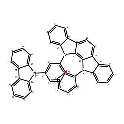 c1ccc(-n2c3ccccc3c3ccc4c5ccccc5n(-c5cccc(-n6c7ccccc7c7ccccc76)c5)c4c32)cc1